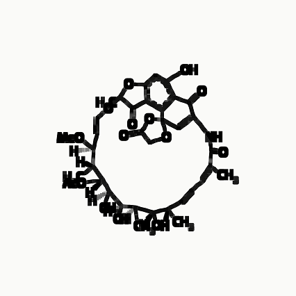 CO[C@H]1/C=C/O[C@@]2(C)Oc3cc(O)c4c(c3C2=O)C2(C=C(NC(=O)/C(C)=C\C=C\[C@H](C)[C@H](O)[C@@H](C)[C@@H](O)[C@@H](C)[C@H](OC(C)=O)[C@@H]1C)C4=O)OCC(=O)O2